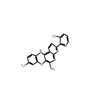 Cc1nc2nc(-c3ncccc3C(F)(F)F)ccc2c2c1Oc1cc(C(F)(F)F)ccc1N2